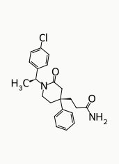 C[C@@H](c1ccc(Cl)cc1)N1CC[C@@](CCC(N)=O)(c2ccccc2)CC1=O